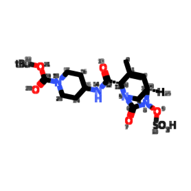 CC1=C[C@@H]2CN(C(=O)N2OS(=O)(=O)O)[C@@H]1C(=O)NC1CCN(C(=O)OC(C)(C)C)CC1